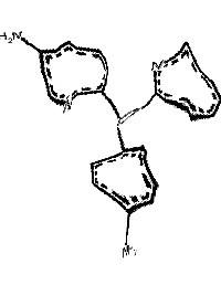 Nc1ccc(P(c2ccccn2)c2ccc(N)cn2)cc1